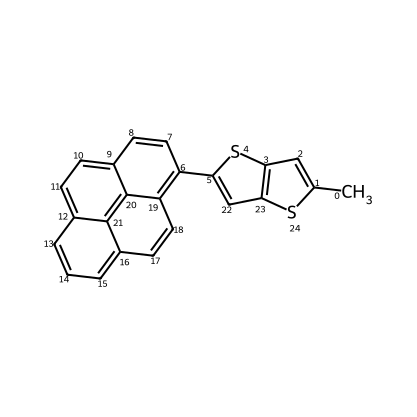 Cc1cc2sc(-c3ccc4ccc5cccc6ccc3c4c56)cc2s1